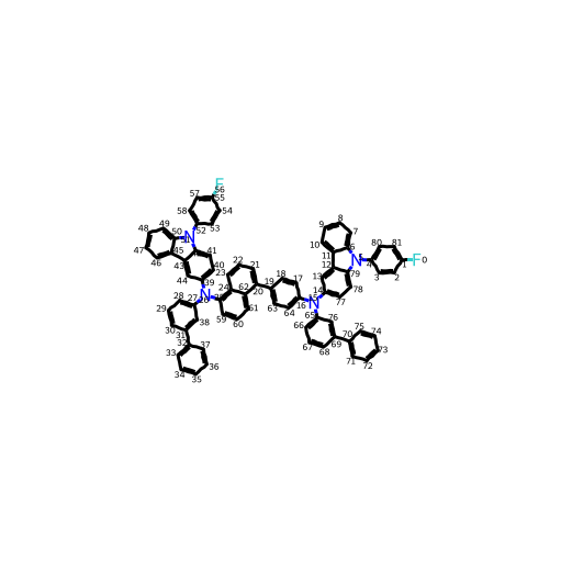 Fc1ccc(-n2c3ccccc3c3cc(N(c4ccc(-c5cccc6c(N(c7cccc(-c8ccccc8)c7)c7ccc8c(c7)c7ccccc7n8-c7ccc(F)cc7)cccc56)cc4)c4cccc(-c5ccccc5)c4)ccc32)cc1